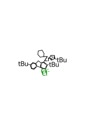 CC(C)(C)C1=CC[C]([Zr+2](=[C]2CCCCC2)[c]2c(C(C)(C)C)ccc3c2Cc2cc(C(C)(C)C)ccc2-3)=C1.[Cl-].[Cl-]